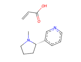 C=CC(=O)O.CN1CCC[C@H]1c1cccnc1